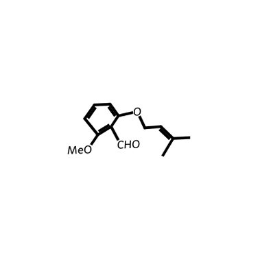 COc1cccc(OCC=C(C)C)c1C=O